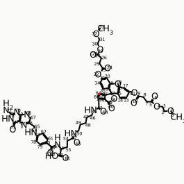 COCCOC(=O)CCC(=O)Oc1ccc2c(c1)Oc1cc(OC(=O)CCC(=O)OCCOC)ccc1C21OC(=O)c2c(C(=O)NCCCCCNC(=O)CCC(NC(=O)c3ccc(NCc4cnc5nc(N)[nH]c(=O)c5n4)cc3)C(=O)O)cccc21